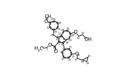 CCOC(=O)c1c(-c2cccc(OCC3CC3)c2)c2cc(OCCO)ccc2n1Cc1cccc(OC)c1